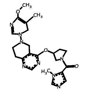 COC1=C(C)CN(N2CCc3ncnc(OC4CCN(C(=O)c5cncn5C)C4)c3C2)C=N1